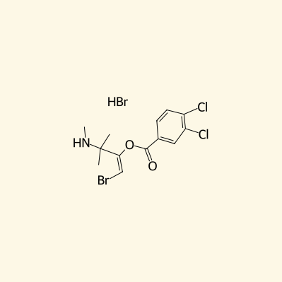 Br.CNC(C)(C)C(=CBr)OC(=O)c1ccc(Cl)c(Cl)c1